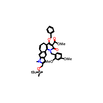 COC(=O)c1c(OCc2ccccc2)c2c(n(Cc3ccc(OC)cc3OC)c1=O)-c1cc3cc(CO[Si](C)(C)C(C)(C)C)n(C)c3cc1C=CC2